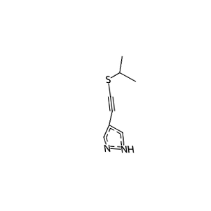 CC(C)SC#Cc1cn[nH]c1